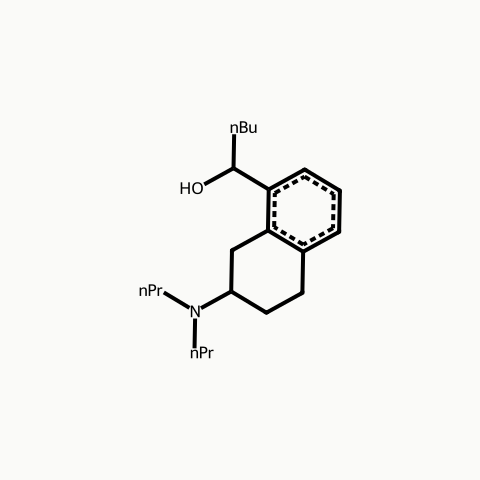 CCCCC(O)c1cccc2c1CC(N(CCC)CCC)CC2